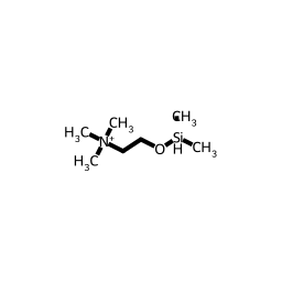 C[SiH](C)OCC[N+](C)(C)C